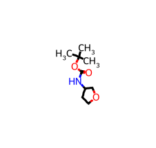 CC(C)(C)OC(=O)NC1CCOC1